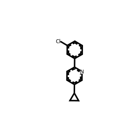 Clc1cccc(-c2ccc(C3CC3)cn2)c1